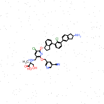 C[C@@](CO)(NCc1cc(Cl)c(O[C@H]2CCc3c(-c4cccc(-c5ccc6c(c5)C[C@H](N)C6)c4Cl)cccc32)nc1OCc1cncc(C#N)c1)C(=O)O